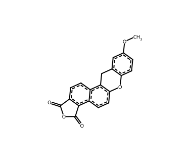 COc1ccc2c(c1)Cc1c(ccc3c4c(ccc13)C(=O)OC4=O)O2